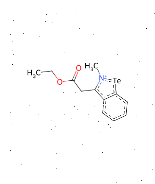 CCOC(=O)Cc1c2ccccc2[te][n+]1C